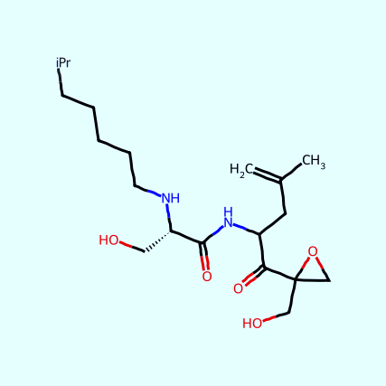 C=C(C)CC(NC(=O)[C@H](CO)NCCCCCC(C)C)C(=O)C1(CO)CO1